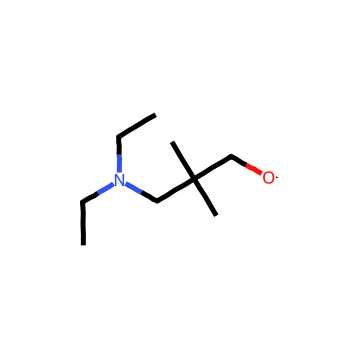 CCN(CC)CC(C)(C)C[O]